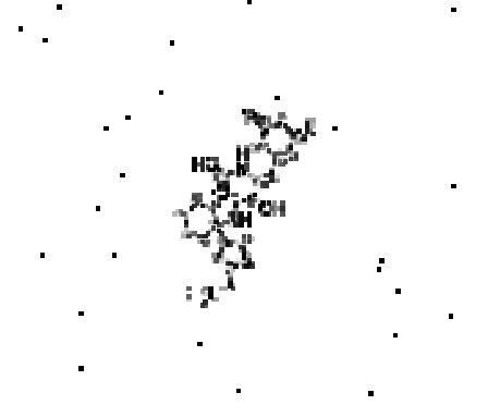 CCc1cc(C2(NCC(O)C(Cc3cc(F)cc(F)c3)NC(=O)O)CCCCC2)cs1